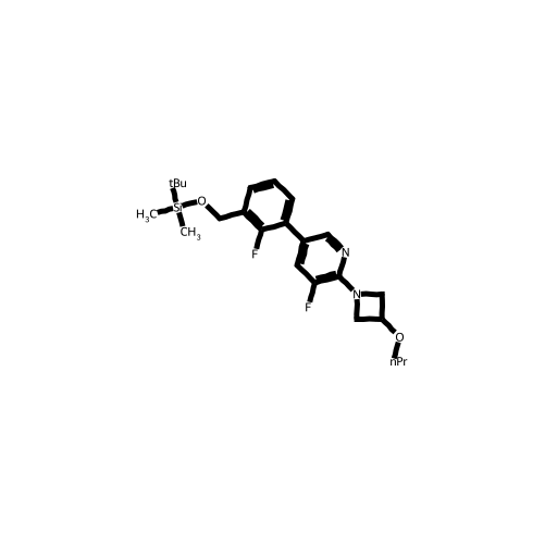 CCCOC1CN(c2ncc(-c3cccc(CO[Si](C)(C)C(C)(C)C)c3F)cc2F)C1